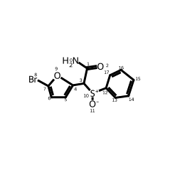 NC(=O)C(c1ccc(Br)o1)[S+]([O-])c1ccccc1